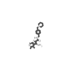 Cc1nnc2sc(C(=O)NCc3ccc(CN4CCCCC4)cc3)c(N)c2c1C